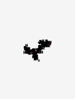 CCN(CC)C(=O)C[C@@H]1[C@@H](COP(=O)(O)OP(=O)(O)OP(=O)(O)OC[C@H]2O[C@@H](n3cnc4c(N)ncnc43)[C@H](OC)[C@@H]2OP(=O)([O-])OC[C@H]2O[C@@H](n3ccc(=O)[nH]c3=O)[C@H](O)[C@@H]2O)OC(n2c[n+](C)c3c(=O)[nH]c(N)nc32)[C@@H]1O